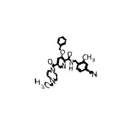 CCN1CCN(C(=O)c2cnc(C(=O)NCc3ccc(C#N)cc3C)c(OCc3ccccc3)c2)CC1